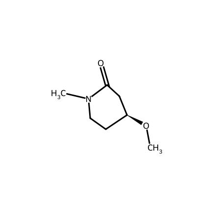 CO[C@H]1CCN(C)C(=O)C1